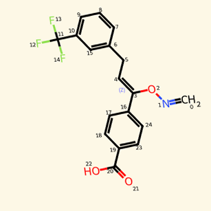 C=NO/C(=C\Cc1cccc(C(F)(F)F)c1)c1ccc(C(=O)O)cc1